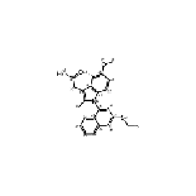 CCSc1nc(-n2c(C)c(CC(=O)O)c3cc(OC)ccc32)c2ccccc2n1